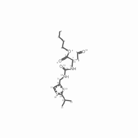 CCCCOC(=O)[C@H](CC=O)NC(=O)NCc1csc(C(C)C)n1